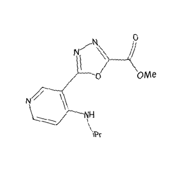 COC(=O)c1nnc(-c2cnccc2NC(C)C)o1